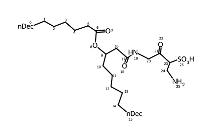 CCCCCCCCCCCCCCCC(=O)OC(CCCCCCCCCCCCCCC)CC(=O)NCC(=O)C(CN)S(=O)(=O)O